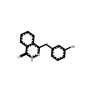 O=c1[nH]nc(Cc2cccc(O)c2)c2ccccc12